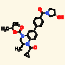 CC(C)OC(=O)N1C[C@H](C)N(C(=O)C2CC2)c2ccc(-c3ccc(C(=O)N4CC[C@H](O)C4)cc3)cc21